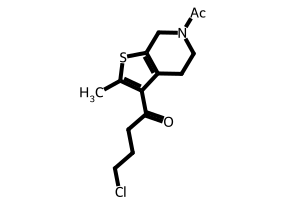 CC(=O)N1CCc2c(sc(C)c2C(=O)CCCCl)C1